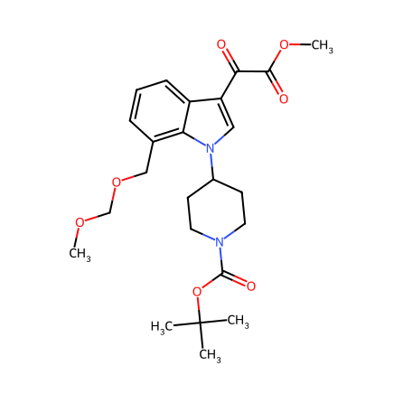 COCOCc1cccc2c(C(=O)C(=O)OC)cn(C3CCN(C(=O)OC(C)(C)C)CC3)c12